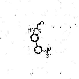 O=CC1Nc2ccc(-c3cccc([N+](=O)[O-])c3)cc2S1